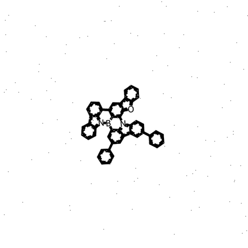 c1ccc(-c2ccc3c(c2)c2cc(-c4ccccc4)cc4c2n3-c2c3c(cc5c2oc2ccccc25)-c2cccc5c6ccccc6n(c25)B34)cc1